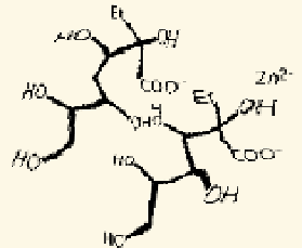 CCC(O)(C(=O)[O-])C(O)C(O)C(O)CO.CCC(O)(C(=O)[O-])C(O)C(O)C(O)CO.[Zn+2]